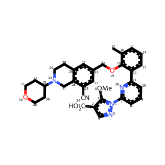 COc1c(C(=O)O)cnn1-c1cccc(-c2cccc(C)c2OCc2cc(C#N)c3c(c2)CCN(C2CCOCC2)C3)n1